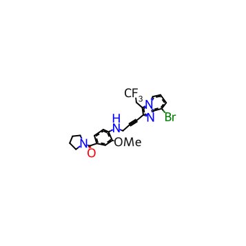 COc1cc(C(=O)N2CCCC2)ccc1NCC#Cc1nc2c(Br)cccn2c1CC(F)(F)F